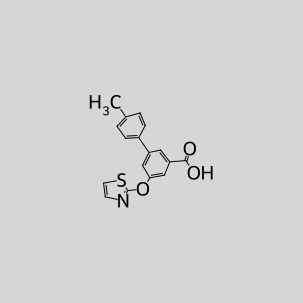 Cc1ccc(-c2cc(Oc3nccs3)cc(C(=O)O)c2)cc1